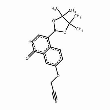 CC1(C)OB(c2c[nH]c(=O)c3cc(OCC#N)ccc23)OC1(C)C